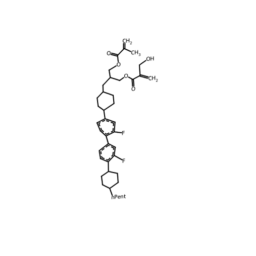 C=C(C)C(=O)OCC(COC(=O)C(=C)CO)CC1CCC(c2ccc(-c3ccc(C4CCC(CCCCC)CC4)c(F)c3)c(F)c2)CC1